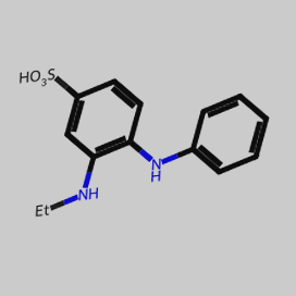 CCNc1cc(S(=O)(=O)O)ccc1Nc1ccccc1